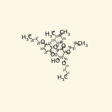 CCCCOC[C@H]1[C@H](O)[C@@H](Oc2ccc(OCCCC)cc2)[C@H](OCCCC)[C@@H](OCCCC)[C@@H]1OCCCC